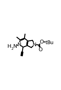 C#CC1C2=C(CN(C(=O)OC(C)(C)C)C2)C(C)=C(C)N1N